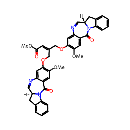 COC(=O)C=C(COc1cc2c(cc1OC)C(=O)N1c3ccccc3C[C@H]1C=N2)COc1cc2c(cc1OC)C(=O)N1c3ccccc3C[C@H]1C=N2